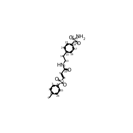 Cc1ccc(S(=O)(=O)/C=C/C(=O)NCCc2ccc(S(N)(=O)=O)cc2)cc1